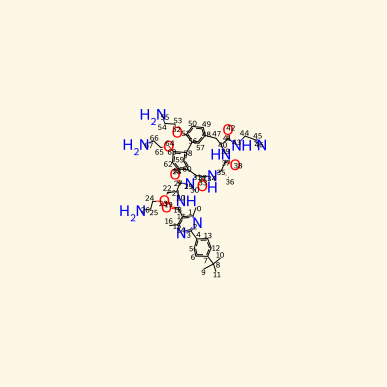 Cc1nc(-c2ccc(C(C)(C)C)cc2)nc(C)c1C(=O)N[C@@H](COCCN)C(=O)N(C)[C@@H]1C(=O)N[C@@H](C)C(=O)N[C@H](C(=O)NCC#N)Cc2ccc(OCCN)c(c2)-c2cc1ccc2OCCN